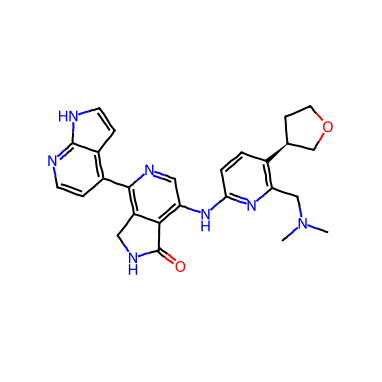 CN(C)Cc1nc(Nc2cnc(-c3ccnc4[nH]ccc34)c3c2C(=O)NC3)ccc1[C@H]1CCOC1